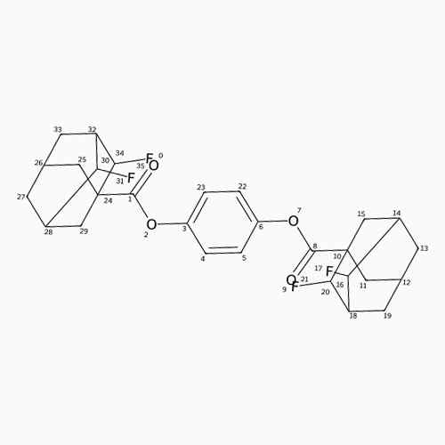 O=C(Oc1ccc(OC(=O)C23CC4CC(C2)C(F)C(C4)C3F)cc1)C12CC3CC(C1)C(F)C(C3)C2F